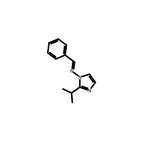 CC(C)c1nccn1N=Cc1ccccc1